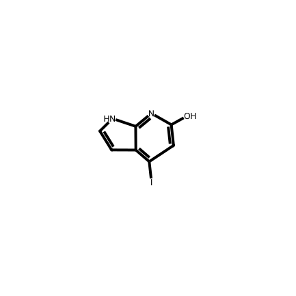 Oc1cc(I)c2cc[nH]c2n1